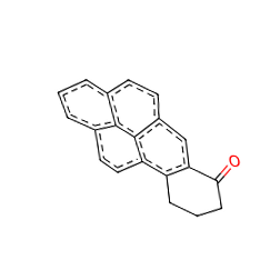 O=C1CCCc2c1cc1ccc3cccc4ccc2c1c34